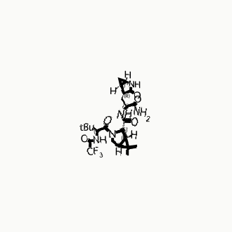 CC(C)(C)[C@H](NC(=O)C(F)(F)F)C(=O)N1C[C@H]2[C@@H]([C@H]1C(=O)N[C@@H](C[C@H]1C(=O)N[C@@H]3C[C@@H]31)C(N)=O)C2(C)C